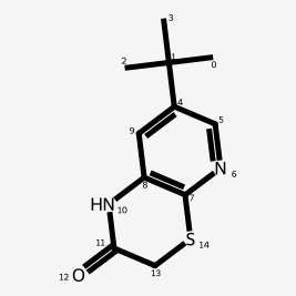 CC(C)(C)c1cnc2c(c1)NC(=O)CS2